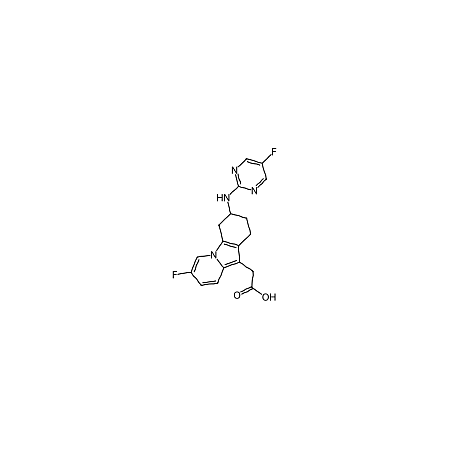 O=C(O)Cc1c2c(n3cc(F)ccc13)CC(Nc1ncc(F)cn1)CC2